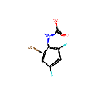 O=C(O)Nc1c(F)cc(F)cc1Br